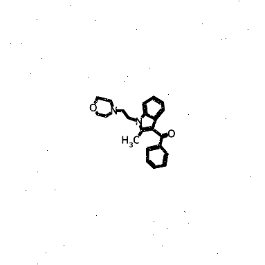 Cc1c(C(=O)c2ccccc2)c2ccccc2n1CCN1CCOCC1